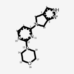 c1cc(N2Cc3c[nH]nc3C2)nc(N2CCOCC2)n1